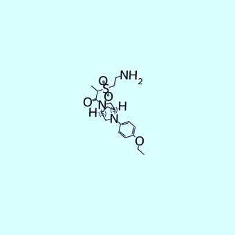 CCOc1ccc(N2C[C@@H]3C[C@H]2CN3C(=O)C(C)S(=O)(=O)CCN)cc1